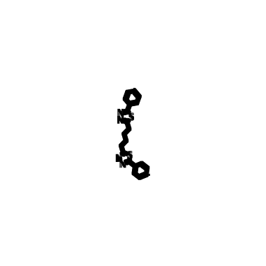 [c]1ccc(-c2nnc(CCCCc3nnc(-c4cc[c]cc4)s3)s2)cc1